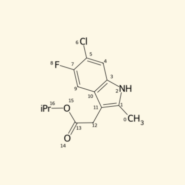 Cc1[nH]c2cc(Cl)c(F)cc2c1CC(=O)OC(C)C